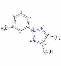 Cc1cccc(-n2nc(C)c(C(=O)O)n2)c1